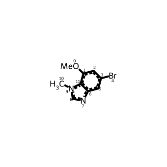 COc1cc(Br)cc2n[c]n(C)c12